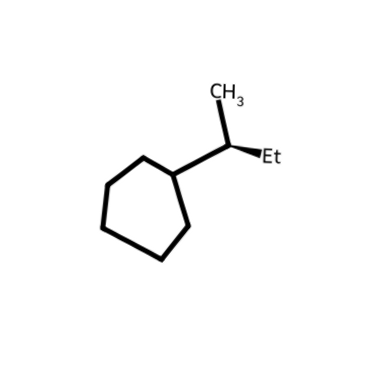 CC[C@H](C)C1CCCCC1